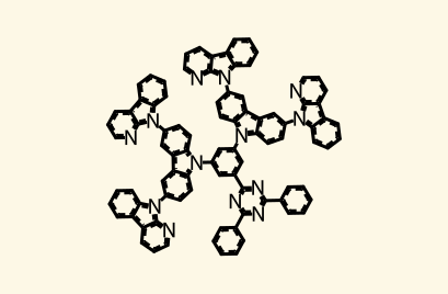 c1ccc(-c2nc(-c3ccccc3)nc(-c3cc(-n4c5ccc(-n6c7ccccc7c7cccnc76)cc5c5cc(-n6c7ccccc7c7cccnc76)ccc54)cc(-n4c5ccc(-n6c7ccccc7c7cccnc76)cc5c5cc(-n6c7ccccc7c7cccnc76)ccc54)c3)n2)cc1